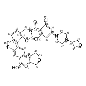 O=C(O)c1cc(F)c(-c2c(F)ccc3c2OCN(C(=O)c2c(Cl)cc(N4CCN(C5COC5)CC4)cc2Cl)C3)cc1N1CCOCC1